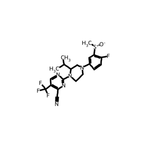 CC(C)C1CN(c2ccc(F)c([S+](C)[O-])c2)CCN1c1ncc(C(F)(F)F)c(C#N)n1